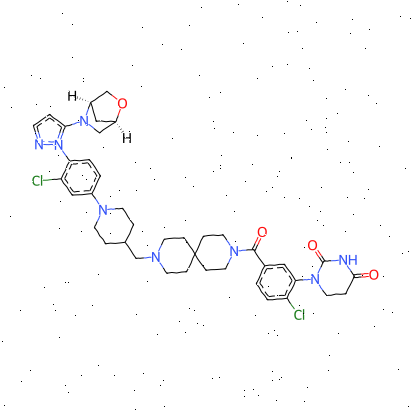 O=C1CCN(c2cc(C(=O)N3CCC4(CCN(CC5CCN(c6ccc(-n7nccc7N7C[C@H]8C[C@@H]7CO8)c(Cl)c6)CC5)CC4)CC3)ccc2Cl)C(=O)N1